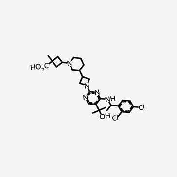 CC(Nc1nc(N2CC(C3CCCN(C4CC(C)(C(=O)O)C4)C3)C2)ncc1C(C)(C)O)c1ccc(Cl)cc1Cl